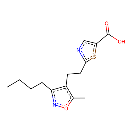 CCCCc1noc(C)c1CCc1ncc(C(=O)O)s1